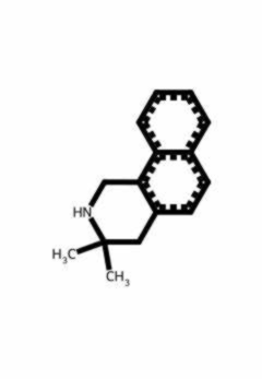 CC1(C)Cc2ccc3ccccc3c2CN1